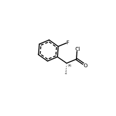 C[C@@H](C(=O)Cl)c1ccccc1F